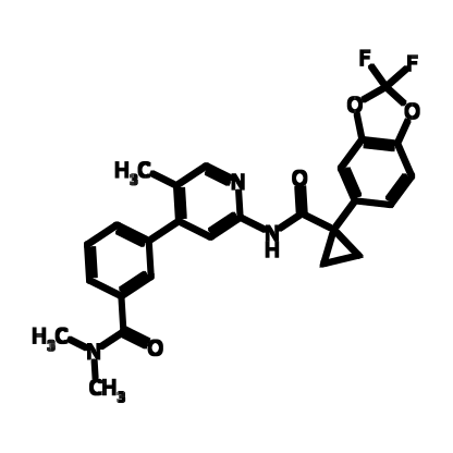 Cc1cnc(NC(=O)C2(c3ccc4c(c3)OC(F)(F)O4)CC2)cc1-c1cccc(C(=O)N(C)C)c1